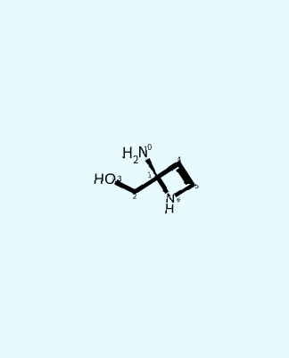 N[C@@]1(CO)C=CN1